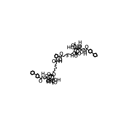 CC(=O)N[C@@H]1[C@H]([C@H](O)[C@@H](O)CNC(=O)c2ccc(-c3ccccc3)cc2)O[C@@](OCCCSCCC(=O)Nc2ccccc2NC(=O)CCSCCCO[C@]2(C=O)C[C@H](O)[C@@H](NC(C)=O)[C@H]([C@H](O)[C@H](O)CNC(=O)c3ccc(-c4ccccc4)cc3)O2)(C(=O)O)C[C@H]1O